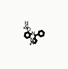 Cn1ccc(C(=Nc2ccccc2O[SiH](C)C)c2ccccc2)n1